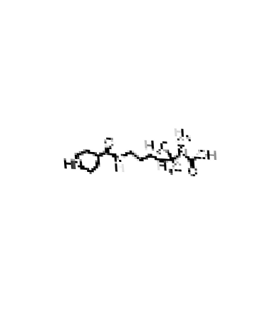 CN(C(=O)O)C(C)(C)CCCCNC(=O)C1CCNCC1